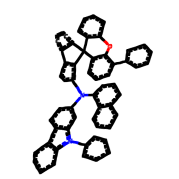 c1ccc(-c2cccc3c2Oc2ccccc2C32c3ccccc3-c3ccc(N(c4ccc5c6ccccc6n(-c6ccccc6)c5c4)c4cccc5ccccc45)cc32)cc1